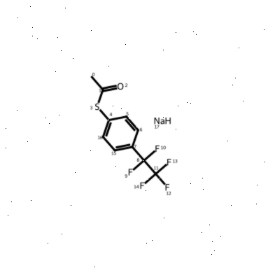 CC(=O)Sc1ccc(C(F)(F)C(F)(F)F)cc1.[NaH]